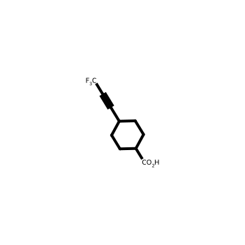 O=C(O)C1CCC(C#CC(F)(F)F)CC1